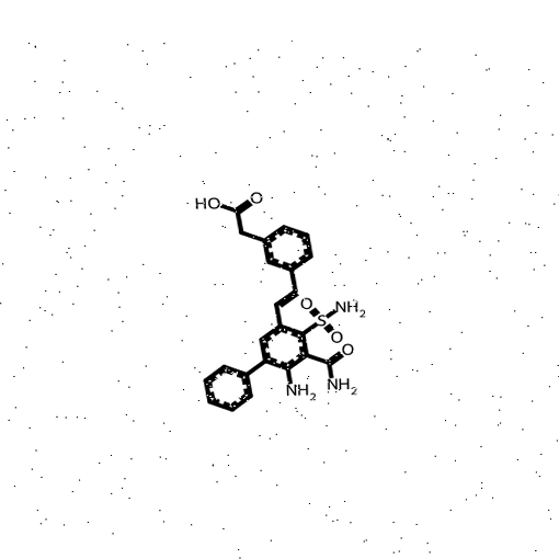 NC(=O)c1c(N)c(-c2ccccc2)cc(C=Cc2cccc(CC(=O)O)c2)c1S(N)(=O)=O